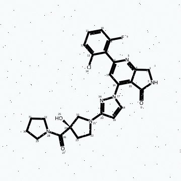 O=C1NCc2nc(-c3c(F)cccc3Cl)cc(-n3ccc(N4CC[C@](O)(C(=O)N5CCCC5)C4)n3)c21